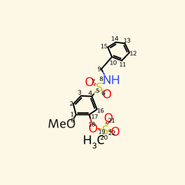 COc1ccc(S(=O)(=O)NCc2ccccc2)cc1OS(C)(=O)=O